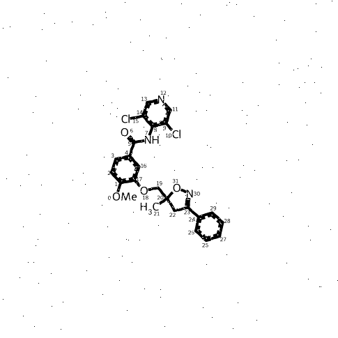 COc1ccc(C(=O)Nc2c(Cl)cncc2Cl)cc1OCC1(C)CC(c2ccccc2)=NO1